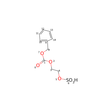 O=C(OCCOS(=O)(=O)O)OCc1ccccc1